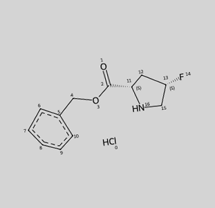 Cl.O=C(OCc1ccccc1)[C@@H]1C[C@H](F)CN1